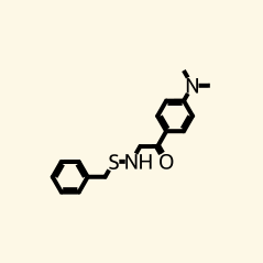 CN(C)c1ccc(C(=O)CNSCc2ccccc2)cc1